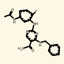 CC(=O)Nc1ccc(F)c(Nc2ncc(C(N)=O)c(NCc3ccccc3)n2)c1